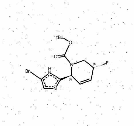 CC(C)(C)OC(=O)N1C[C@H](F)C=C[C@H]1c1ncc(Br)[nH]1